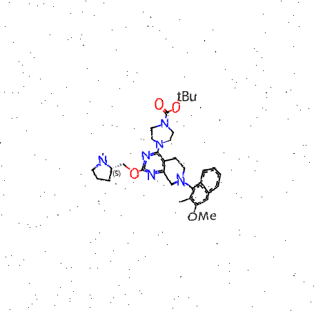 COc1cc2ccccc2c(N2CCc3c(nc(OC[C@@H]4CCCN4C)nc3N3CCN(C(=O)OC(C)(C)C)CC3)C2)c1C